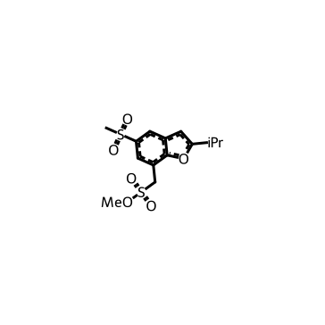 COS(=O)(=O)Cc1cc(S(C)(=O)=O)cc2cc(C(C)C)oc12